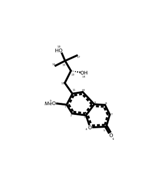 COc1cc2oc(=O)ccc2cc1C[C@@H](O)C(C)(C)O